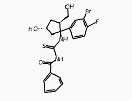 O=C(NC(=S)N[C@@]1(c2ccc(F)c(Br)c2)C[C@H](O)C[C@H]1CO)c1ccccc1